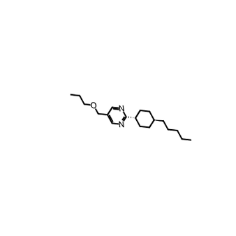 CCCCC[C@H]1CC[C@H](c2ncc(COCCC)cn2)CC1